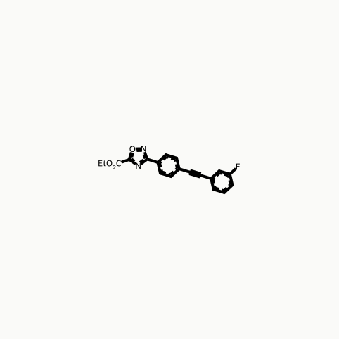 CCOC(=O)c1nc(-c2ccc(C#Cc3cccc(F)c3)cc2)no1